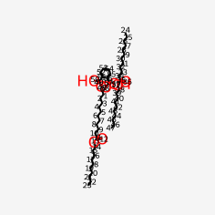 CCCCCCCCCCCC(=O)OCCCCCCCCCC.CCCCCCCCCCCC(=O)OCCCCCCCCCC.O=C(O)c1ccccc1C(=O)O